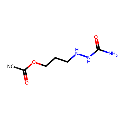 N#CC(=O)OCCCNNC(N)=O